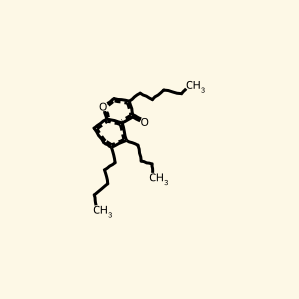 CCCCCc1ccc2occ(CCCCC)c(=O)c2c1CCCC